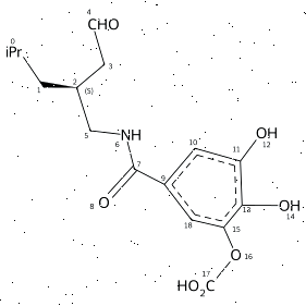 CC(C)C[C@@H](CC=O)CNC(=O)c1cc(O)c(O)c(OC(=O)O)c1